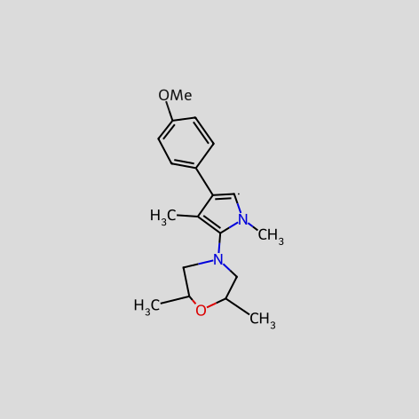 COc1ccc(-c2[c]n(C)c(N3CC(C)OC(C)C3)c2C)cc1